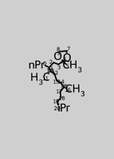 CCCC(CCC1(C)OCCO1)[C@H](C)CCC[C@H](C)CCCC(C)C